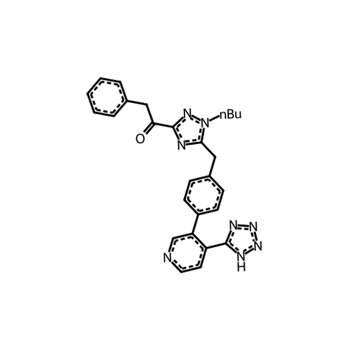 CCCCn1nc(C(=O)Cc2ccccc2)nc1Cc1ccc(-c2cnccc2-c2nnn[nH]2)cc1